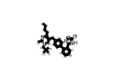 CCCCC1=C(Cc2ccc(-c3ccccc3-c3noc(=O)[nH]3)cc2)CN(CC(C)(C)C)C(C)=N1